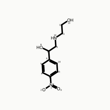 O=[N+]([O-])c1ccc(C(O)CNCCO)cc1